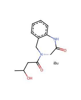 CC[C@H](C)[C@H]1C(=O)Nc2ccccc2CN1C(=O)CC(C)O